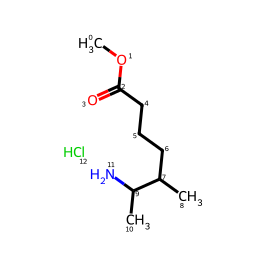 COC(=O)CCCC(C)C(C)N.Cl